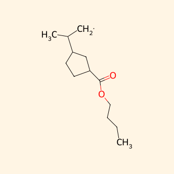 [CH2]C(C)C1CCC(C(=O)OCCCC)C1